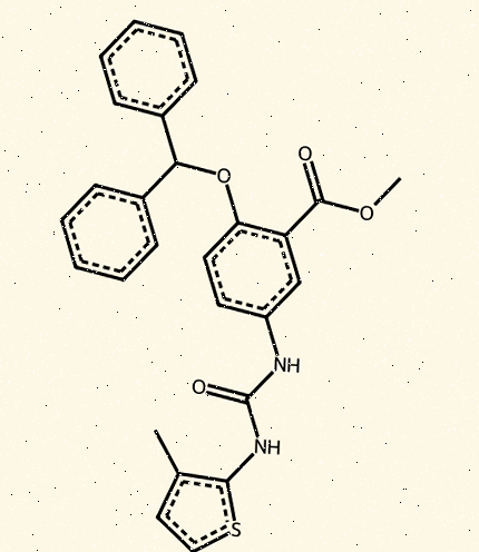 COC(=O)c1cc(NC(=O)Nc2sccc2C)ccc1OC(c1ccccc1)c1ccccc1